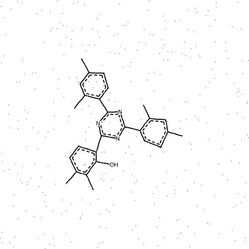 Cc1ccc(-c2nc(-c3ccc(C)cc3C)nc(-c3ccc(C)c(C)c3O)n2)c(C)c1